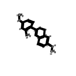 COc1ccc(C2=Cc3ccc(OC)cc3CC2)c(N)c1